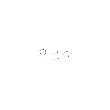 Cc1ccc(C(C)CC2C(=O)N(c3ccc(C)cc3)C(=O)C2C)cc1